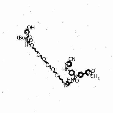 Cn1cc(-c2ccc(N(C(=O)NCc3cnn(CCCCOCCOCCOCCOCCOCCCCOCC(=O)N[C@H](C(=O)N4CC[C@@H](O)C4)C(C)(C)C)c3)C3CCC(Nc4ccc(C#N)cn4)CC3)cc2)ccc1=O